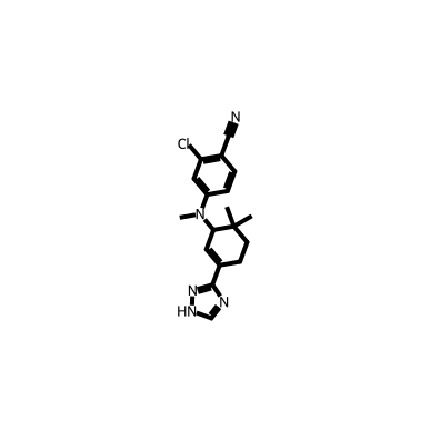 CN(c1ccc(C#N)c(Cl)c1)C1C=C(c2nc[nH]n2)CCC1(C)C